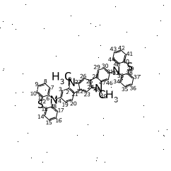 Cn1c2cc(N3c4ccccc4Sc4ccccc43)ccc2c2cc3c(cc21)c1ccc(N2c4ccccc4Sc4ccccc42)cc1n3C